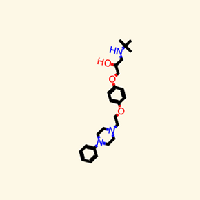 CC(C)(C)NCC(O)COc1ccc(OCCN2CCN(c3ccccc3)CC2)cc1